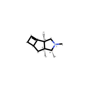 C[C@H]1N(C)C[C@@H]2C3=CCC3C[C@@]21C